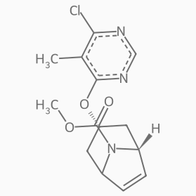 COC(=O)N1C2C=C[C@H]1C[C@@H](Oc1ncnc(Cl)c1C)C2